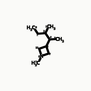 CCC(C)C(C)C1CN(C)C1